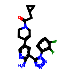 Nc1ncc(C2=CCN(C(=O)CC3CC3)CC2)cc1-c1nnnn1-c1cccc(F)c1F